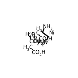 CC(=O)O.CC(=O)O.CC(=O)O.CC(=O)O.NCCN.[Ni]